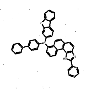 c1ccc(-c2ccc(N(c3ccc4c(c3)oc3ccccc34)c3cccc4c3ccc3ccc5nc(-c6ccccc6)[nH]c5c34)cc2)cc1